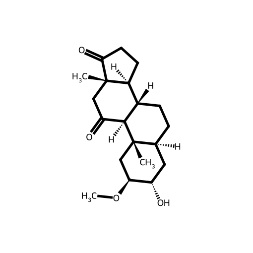 CO[C@H]1C[C@@]2(C)[C@@H](CC[C@@H]3[C@@H]2C(=O)C[C@]2(C)C(=O)CC[C@@H]32)C[C@@H]1O